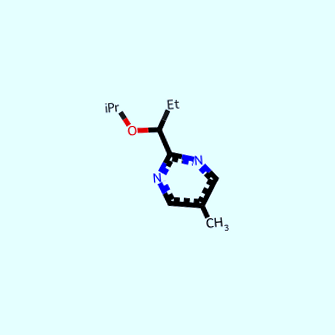 CCC(OC(C)C)c1ncc(C)cn1